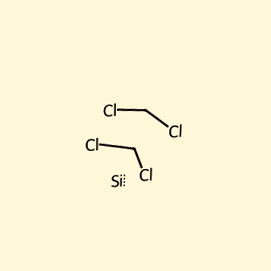 ClCCl.ClCCl.[Si]